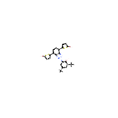 CC(C)(C)c1cc(-n2nc3c(-c4ccc(Br)s4)ccc(-c4ccc(Br)s4)c3n2)c(O)c(C(C)(C)C)c1